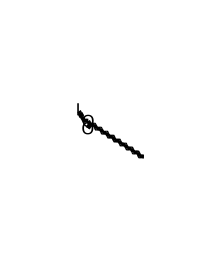 CCCCCCCCCCCCCCCCCC(=O)OCC#CI